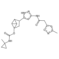 Cc1cc(CC(=O)Nc2cc(C3CC4(OC(=O)NC5(C)CC5)C5C3C54)[nH]n2)on1